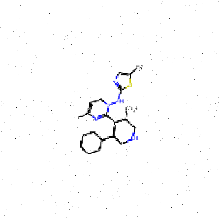 CC1=CCN(Nc2ncc(C#N)s2)C([C@@H]2C(C3CCCCC3)CNC[C@@H]2C(=O)O)=N1